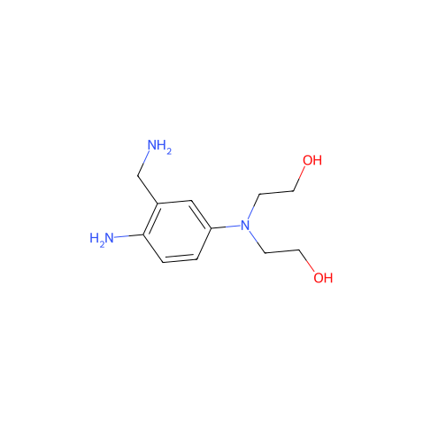 NCc1cc(N(CCO)CCO)ccc1N